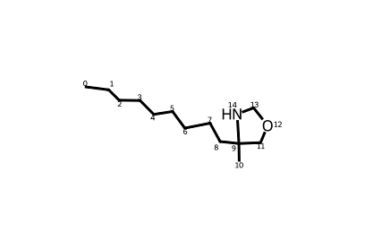 CCCCCCCCCC1(C)COCN1